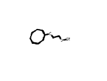 CCOCCOC1CCCCCCC1